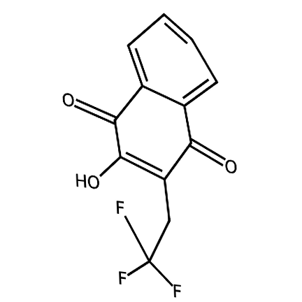 O=C1C(O)=C(CC(F)(F)F)C(=O)c2ccccc21